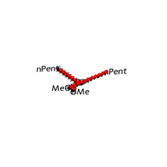 CCCCCC=CCC=CCCCCCCCCOCC(CCN(CCOC)CCOC)OCCCCCCCCC=CCC=CCCCCC